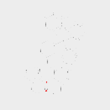 c1ccc(C2(c3cccc(N(c4cccc5ccccc45)c4cccc5ccccc45)c3)c3cccc4oc5cccc2c5c34)cc1